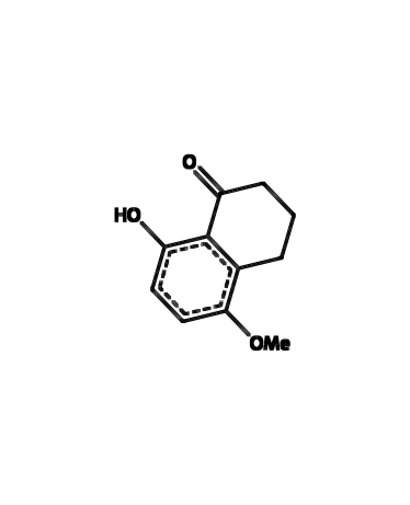 COc1ccc(O)c2c1CCCC2=O